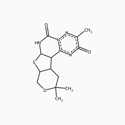 Cc1nn2c(nc1=O)C1C(NC2=O)SC2COC(C)(C)CC21